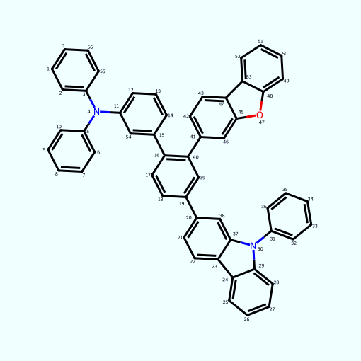 c1ccc(N(c2ccccc2)c2cccc(-c3ccc(-c4ccc5c6ccccc6n(-c6ccccc6)c5c4)cc3-c3ccc4c(c3)oc3ccccc34)c2)cc1